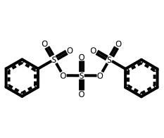 O=S(=O)(OS(=O)(=O)c1ccccc1)OS(=O)(=O)c1ccccc1